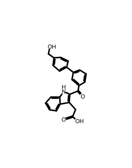 O=C(O)Cc1c(C(=O)c2cccc(-c3ccc(CO)cc3)c2)[nH]c2ccccc12